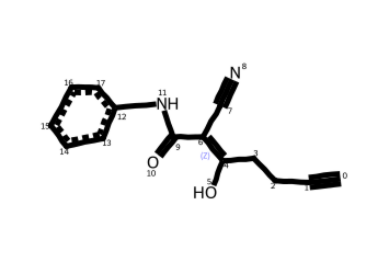 C#CCC/C(O)=C(\C#N)C(=O)Nc1ccccc1